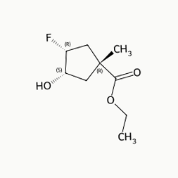 CCOC(=O)[C@@]1(C)C[C@@H](F)[C@@H](O)C1